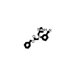 N#Cc1cccc(N(CC(=O)OCc2ccccc2)Cc2c[nH]cn2)c1